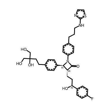 O=C1[C@H](CC[C@H](O)c2ccc(F)cc2)[C@@H](c2ccc(CCC(O)(CO)CO)cc2)N1c1ccc(CCCNc2nccs2)cc1